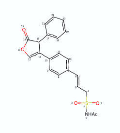 CC(=O)NS(=O)(=O)CC=Cc1ccc(C2=COC(=O)C2c2ccccc2)cc1